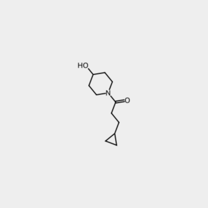 O=C(CCC1CC1)N1CCC(O)CC1